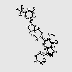 CCn1c(N2CCC3(CCN(c4cc(C)nc(C(F)(F)F)n4)C3)CC2)nc2c(cnn2C2CCCCO2)c1=O